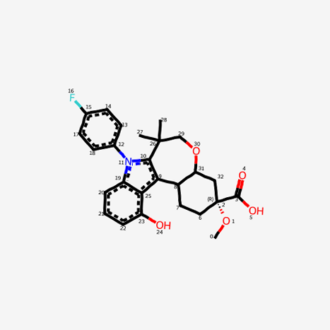 CO[C@]1(C(=O)O)CCC2c3c(n(-c4ccc(F)cc4)c4cccc(O)c34)C(C)(C)COC2C1